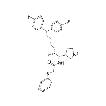 O=C(CSc1ccccc1)NC(C(=O)CCCCC(c1ccc(F)cc1)c1ccc(F)cc1)C1CCNC1